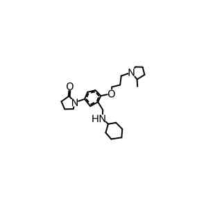 CC1CCCN1CCCOc1ccc(N2CCCC2=O)cc1CNC1CCCCC1